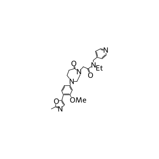 CCN(Cc1ccncc1)C(=O)CN1CCN(c2ccc(-c3cnc(C)o3)c(OC)c2)CCC1=O